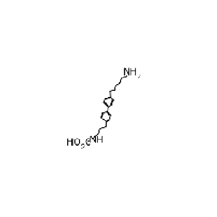 NCCCCCCc1ccc(-c2ccc(CCCCNC(=O)O)cc2)cc1